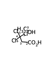 CO.O=C(O)CC(Cl)(Cl)Cl